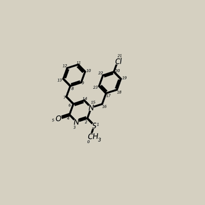 CSc1nc(=O)c(Cc2ccccc2)cn1Cc1ccc(Cl)cc1